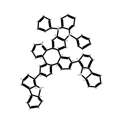 c1ccc(-n2c3ccccc3n(-c3ccccc3)c3cc4c(cc32)c2cc(-c3cccc5c3oc3ccccc35)ccc2c2ccc(-c3cccc5c3oc3ccccc35)cc2c2cccnc24)cc1